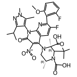 COc1cccc(F)c1-c1nc2c(cc1F)c(N1C[C@@H](C)N(C(=O)O)C(C(C)(C)C)[C@]1(C)C(=O)O)c([N+](=O)[O-])c(=O)n2-c1c(C(C)C)nn(C)c1C